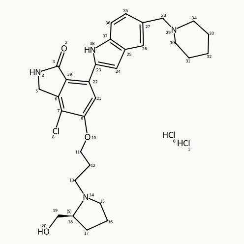 Cl.Cl.O=C1NCc2c(Cl)c(OCCCN3CCC[C@H]3CO)cc(-c3cc4cc(CN5CCCCC5)ccc4[nH]3)c21